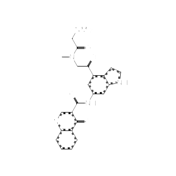 CNCC(=O)N(C)CC(=O)c1cc(NC(=O)c2c[nH]c3ccccc3c2=O)cc2[nH]ccc12